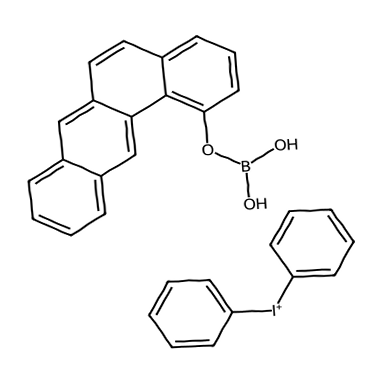 OB(O)Oc1cccc2ccc3cc4ccccc4cc3c12.c1ccc([I+]c2ccccc2)cc1